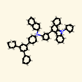 c1ccc(-c2cc(-c3ccccc3)cc(-c3ccc(N(c4cccc(-c5cc6ccccc6c6c5c5ccccc5n6-c5ccccc5)c4)c4ccc5ccccc5c4)cc3)c2)cc1